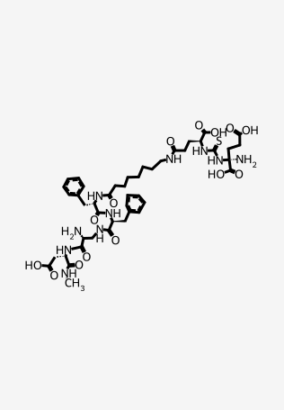 CNC(=O)[C@H](CC(=O)O)NC(=O)[C@@H](N)CNC(=O)[C@H](Cc1ccccc1)NC(=O)[C@H](Cc1ccccc1)NC(=O)CCCCCCCNC(=O)CC[C@H](NC(=S)N[C@@](N)(CCC(=O)O)C(=O)O)C(=O)O